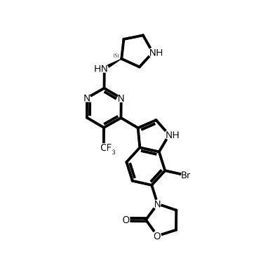 O=C1OCCN1c1ccc2c(-c3nc(N[C@H]4CCNC4)ncc3C(F)(F)F)c[nH]c2c1Br